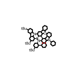 CC(C)(C)c1ccc(N2B3c4c(cc5c(oc6ccccc65)c4-c4c2ccc2c4c4ccccc4n2-c2ccccc2)-n2c4ccc(C(C)(C)C)cc4c4cc(C(C)(C)C)cc3c42)c(-c2ccccc2)c1